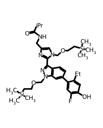 CCc1cc(O)c(F)cc1-c1ccc2c(-c3nc(CNC(=O)C(C)C)cn3COCC[Si](C)(C)C)nn(COCC[Si](C)(C)C)c2c1